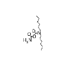 CCCCCCN(CCCCCC)C(=O)OC(N)=O